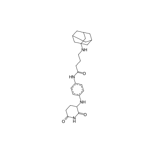 O=C1CCC(Nc2ccc(NC(=O)CCCNC34CC5CC(CC(C5)C3)C4)cc2)C(=O)N1